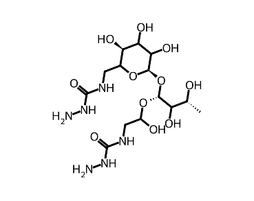 C[C@@H](O)C(O)[C@H](OC(O)CNC(=O)NN)O[C@H]1OC(CNC(=O)NN)[C@@H](O)C(O)C1O